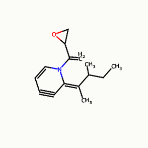 C=C(C1CO1)N1C=CC#C/C1=C(\C)C(C)CC